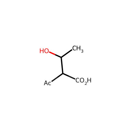 CC(=O)C(C(=O)O)C(C)O